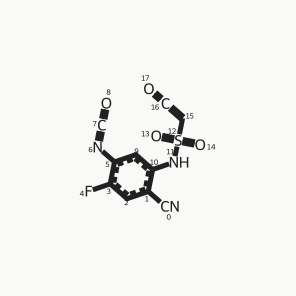 N#Cc1cc(F)c(N=C=O)cc1NS(=O)(=O)C=C=O